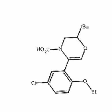 CCOc1ccc(Cl)cc1C1=COC(C(C)(C)C)CN1C(=O)O